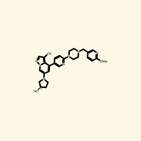 COc1ccc(CN2CCN(c3ccc(-c4cc(N5CC[C@@H](O)C5)cn5ncc(C#N)c45)cn3)CC2)cn1